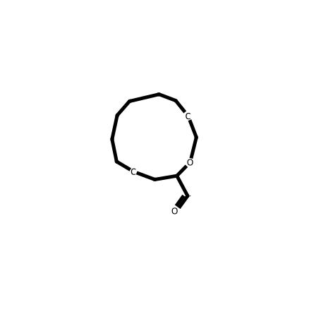 O=[C]C1CCCCCCCCCCO1